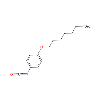 CCCCCCCCCCCCCCCCOc1ccc(N=C=O)cc1